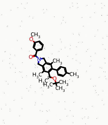 COc1cccc(C(=O)N2Cc3c(C)c(-c4ccc(C)cc4)c([C@@H](C)OC(C)(C)C)c(C)c3C2)c1